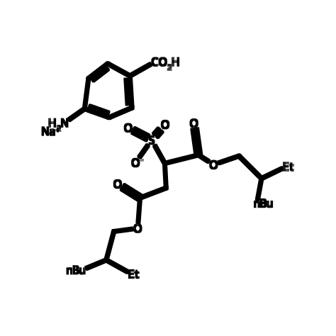 CCCCC(CC)COC(=O)CC(C(=O)OCC(CC)CCCC)S(=O)(=O)[O-].Nc1ccc(C(=O)O)cc1.[Na+]